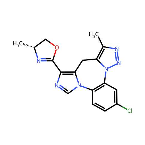 Cc1nnn2c1Cc1c(C3=N[C@H](C)CO3)ncn1-c1ccc(Cl)cc1-2